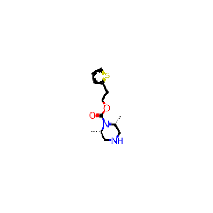 C[C@@H]1CNC[C@H](C)N1C(=O)OCCc1cccs1